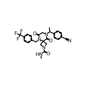 CNC(=O)N1CC2(C1)C(=O)N(C(C)c1ccc(C#N)cc1)CC(=O)N2Cc1ccc(C(F)(F)F)cc1